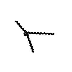 CCCCCCCCCCCCCCCCCC1N(CCCCCCCCCC)C=CN1CCCCCCCCCCCCC